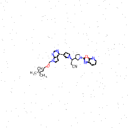 C[Si](C)(C)CCOCn1ccc2c(-c3ccn(C(CC#N)C4CCN(c5nc6cccnc6o5)C4)c3)ncnc21